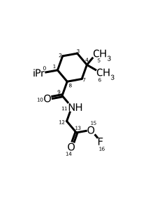 CC(C)C1CCC(C)(C)CC1C(=O)NCC(=O)OF